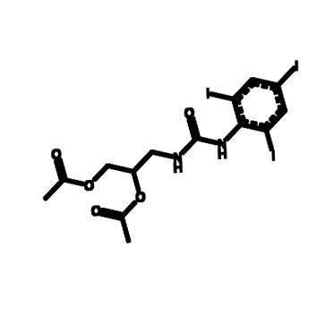 CC(=O)OCC(CNC(=O)Nc1c(I)cc(I)cc1I)OC(C)=O